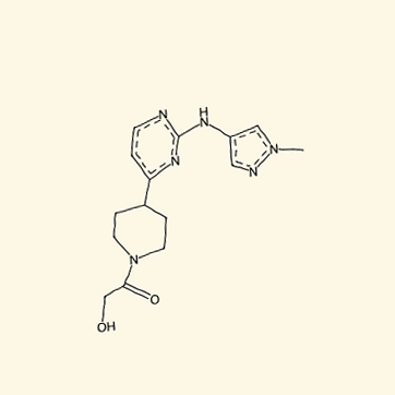 Cn1cc(Nc2nccc(C3CCN(C(=O)CO)CC3)n2)cn1